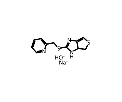 C1=C2N=C(SCc3ccccn3)NC2CS1.[Na+].[OH-]